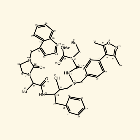 CCC(C)CN(C(=O)NN(Cc1ccc(-c2c(C)noc2C)cc1)CC(O)C(Cc1ccccc1)NC(=O)C(C(C)CC)N1CCN(Cc2ccnc3ccccc23)C1=O)C(=O)OC